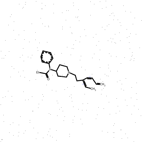 C=C/C=C\C(=C/C)CCN1CCC(N(C(=O)CC)c2ccccc2)CC1